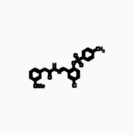 COc1cccc(CC(=O)N/N=C/c2cc(Cl)ccc2OS(=O)(=O)c2ccc(C)cc2)c1